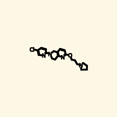 Clc1ccc(N2CCc3nc(OCCCN4CCCC4)ccc3C2)nc1